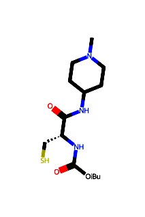 CC(C)COC(=O)N[C@H](CS)C(=O)NC1CCN(C)CC1